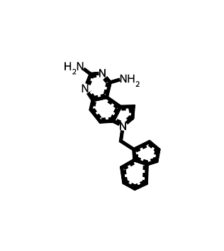 Nc1nc(N)c2c(ccc3c2ccn3Cc2cccc3ccccc23)n1